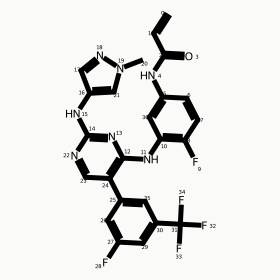 C=CC(=O)Nc1ccc(F)c(Nc2nc(Nc3cnn(C)c3)ncc2-c2cc(F)cc(C(F)(F)F)c2)c1